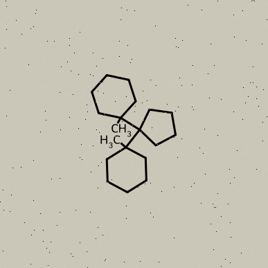 CC1(C2(C3(C)CCCCC3)CCCC2)CCCCC1